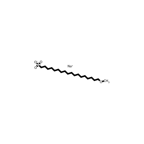 COCCCCCCCCCCCCCCCCCCS(=O)(=O)[O-].[Na+]